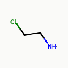 [NH]CCCl